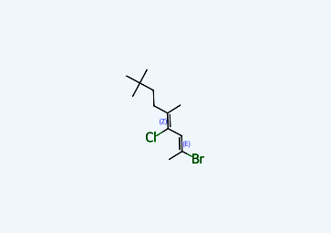 C/C(CCC(C)(C)C)=C(Cl)\C=C(/C)Br